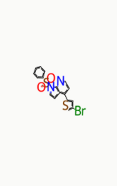 O=S(=O)(c1ccccc1)n1ccc2c(-c3cc(Br)cs3)ccnc21